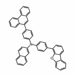 c1ccc2cc(N(c3ccc(-c4cc5ccccc5c5ccccc45)cc3)c3ccc(-c4cccc5c4oc4ccccc45)cc3)ccc2c1